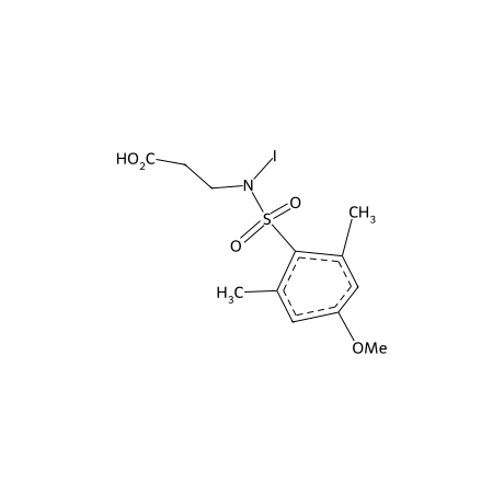 COc1cc(C)c(S(=O)(=O)N(I)CCC(=O)O)c(C)c1